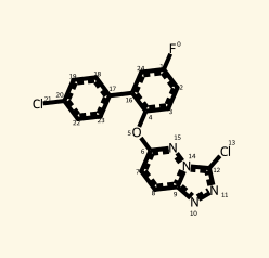 Fc1ccc(Oc2ccc3nnc(Cl)n3n2)c(-c2ccc(Cl)cc2)c1